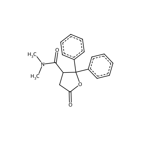 CN(C)C(=O)C1CC(=O)OC1(c1ccccc1)c1ccccc1